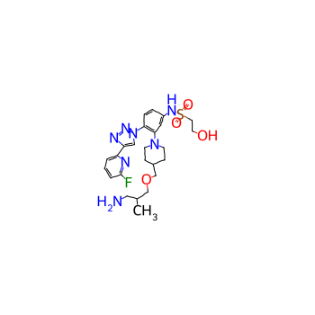 CC(CN)COCC1CCN(c2cc(NS(=O)(=O)CCO)ccc2-n2cc(-c3cccc(F)n3)nn2)CC1